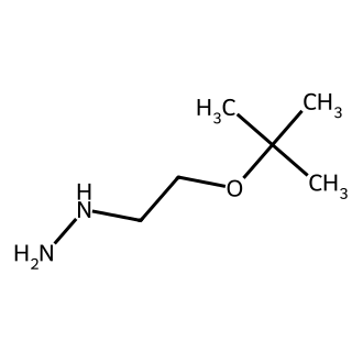 CC(C)(C)OCCNN